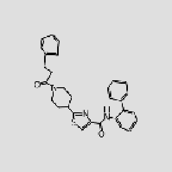 O=C(Nc1ccccc1-c1ccccc1)c1csc(C2CCN(C(=O)CCc3ccccc3)CC2)n1